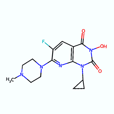 CN1CCN(c2nc3c(cc2F)c(=O)n(O)c(=O)n3C2CC2)CC1